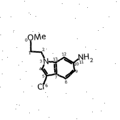 COCCn1cc(Cl)c2ccc(N)cc21